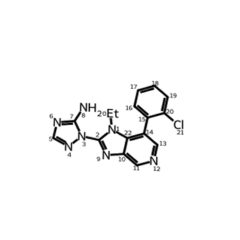 CCn1c(-n2ncnc2N)nc2cncc(-c3ccccc3Cl)c21